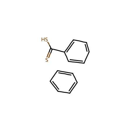 S=C(S)c1ccccc1.c1ccccc1